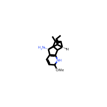 C/C=C1\[C@H]2C=C(C)C3C2C2=C(C=CC(OC)N2)[C@]13N